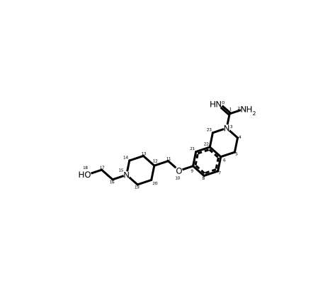 N=C(N)N1CCc2ccc(OCC3CCN(CCO)CC3)cc2C1